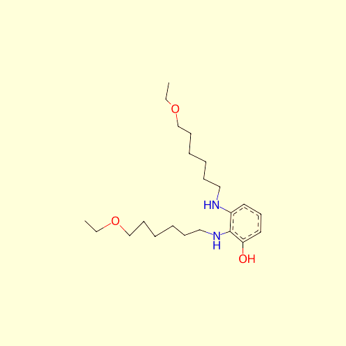 CCOCCCCCCNc1cccc(O)c1NCCCCCCOCC